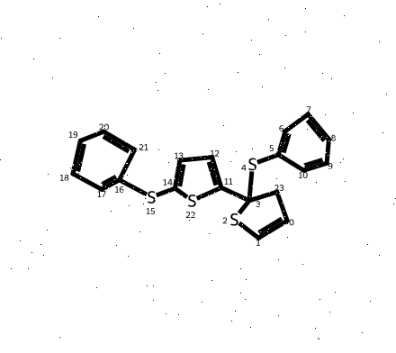 C1=CSC(Sc2ccccc2)(c2ccc(Sc3ccccc3)s2)C1